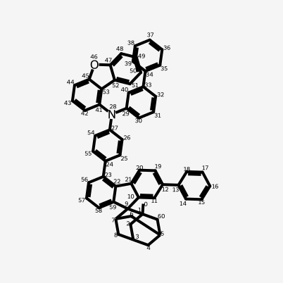 CC12CC3CC(CC(C3)C13c1cc(-c4ccccc4)ccc1-c1c(-c4ccc(N(c5cccc(-c6ccccc6)c5)c5cccc6oc7ccccc7c56)cc4)cccc13)C2